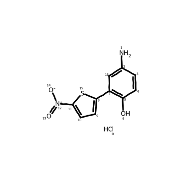 Cl.Nc1ccc(O)c(-c2ccc([N+](=O)[O-])s2)c1